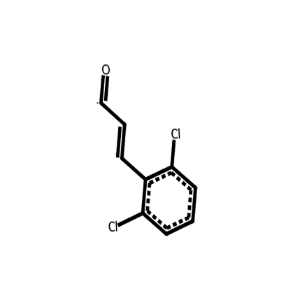 O=[C]C=Cc1c(Cl)cccc1Cl